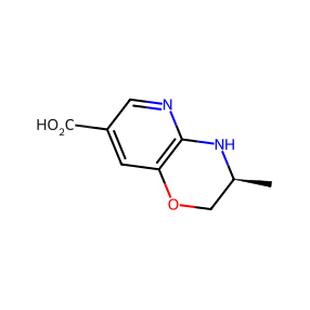 C[C@H]1COc2cc(C(=O)O)cnc2N1